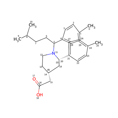 Cc1ccc(C(CCC(C)C)N2CC[C@@H](CC(=O)O)C[C@H]2c2ccc(C)cc2)cc1